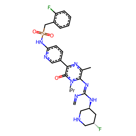 C=N/C(=N\c1c(C)nc(-c2ccc(NS(=O)(=O)Cc3ccccc3F)nc2)c(=O)n1C(C)C)N[C@@H]1CNC[C@@H](F)C1